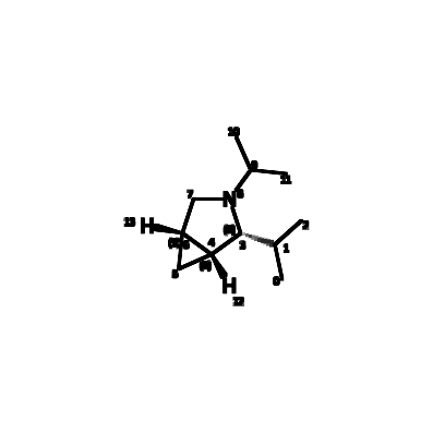 CC(C)[C@@H]1[C@@H]2C[C@@H]2CN1C(C)C